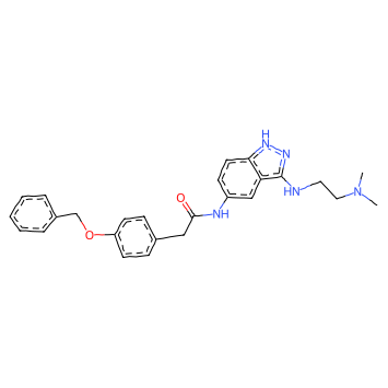 CN(C)CCNc1n[nH]c2ccc(NC(=O)Cc3ccc(OCc4ccccc4)cc3)cc12